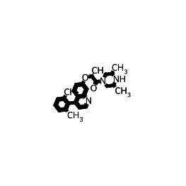 Cc1cccc(C)c1-c1ccnc2cc(O[C@H](C)C(=O)N3CC(C)NC(C)C3)ccc12